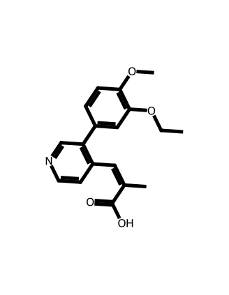 CCOc1cc(-c2cnccc2C=C(C)C(=O)O)ccc1OC